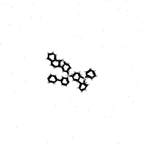 c1ccc(-c2cccc(N(c3ccc4sc5c6ccccc6ccc5c4c3)c3ccc4c(c3)c3ccccc3n4-c3ccccc3)c2)cc1